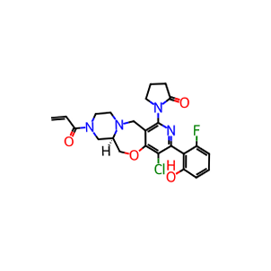 C=CC(=O)N1CCN2Cc3c(N4CCCC4=O)nc(-c4c(O)cccc4F)c(Cl)c3OC[C@H]2C1